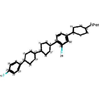 CCCCCC1CCC(c2ccc(C3CCC(C4CCC(c5ccc(F)cc5)CC4)CC3)c(F)c2)CC1